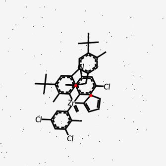 [CH2]=[Zr]([C]1=CC=CC1)([c]1cc(Cl)cc(Cl)c1C)([c]1cc(Cl)cc(Cl)c1C)[c]1c(C)c(C(C)(C)C)cc2c1Cc1cc(C)c(C(C)(C)C)cc1-2